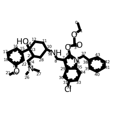 CCOC(=O)Oc1c(CNC2CCC(O)(c3cccc(OC)c3)C(CN(C)C)C2)c2cc(Cl)ccc2n1Cc1ccccc1